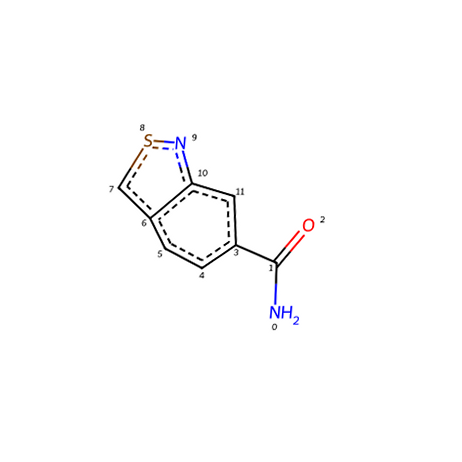 NC(=O)c1ccc2csnc2c1